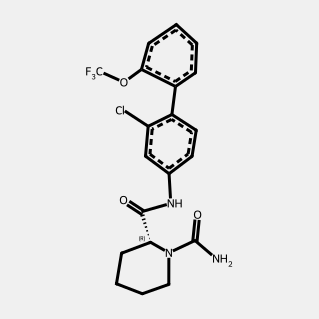 NC(=O)N1CCCC[C@@H]1C(=O)Nc1ccc(-c2ccccc2OC(F)(F)F)c(Cl)c1